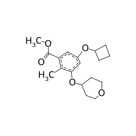 COC(=O)c1cc(OC2CCC2)cc(OC2CCOCC2)c1C